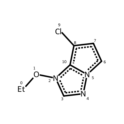 CCOn1cnn2ccc(Cl)c12